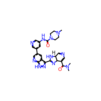 CN1CCN(C(=O)Nc2cncc(-c3cnc4[nH]nc(C5=NC6C(C(=O)N(C)C)=CN=C[C@@H]6N5)c4c3)c2)CC1